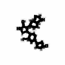 O=C1NCC(c2ccc(-c3ccc(Cl)s3)cc2F)N1c1ccc2[nH]cnc2c1